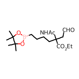 CCOC(=O)C(CC=O)(CCCCB1OC(C)(C)C(C)(C)O1)NC(C)=O